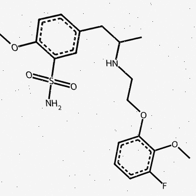 COc1ccc(CC(C)NCCOc2cccc(F)c2OC)cc1S(N)(=O)=O